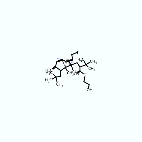 C=C(/C=C\C=C/CI)C(CC(C)(C)C)C(C)(C)C(C)(C)CC(C(=O)OCCO)C(C)(C)C